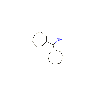 NC(C1CCCCCC1)C1CCCCCC1